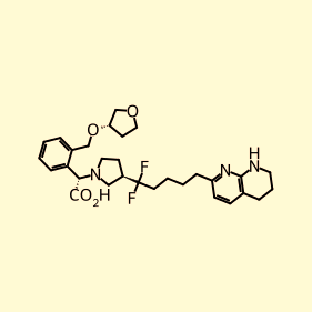 O=C(O)[C@H](c1ccccc1CO[C@H]1CCOC1)N1CC[C@@H](C(F)(F)CCCCc2ccc3c(n2)NCCC3)C1